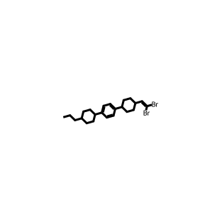 CCCC1CCC(c2ccc(C3CCC(C=C(Br)Br)CC3)cc2)CC1